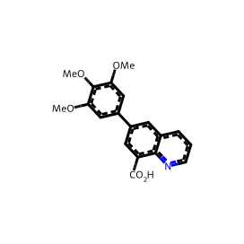 COc1cc(-c2cc(C(=O)O)c3ncccc3c2)cc(OC)c1OC